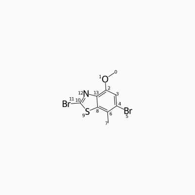 COc1cc(Br)c(C)c2sc(Br)nc12